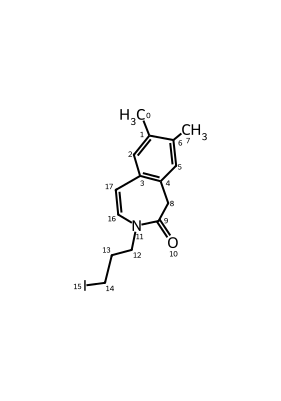 Cc1cc2c(cc1C)CC(=O)N(CCCI)C=C2